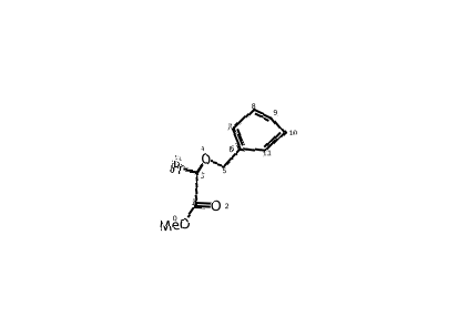 COC(=O)C(OCc1ccccc1)C(C)C